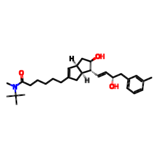 Cc1cccc(C[C@H](O)/C=C/[C@@H]2[C@H]3CC(CCCCCC(=O)N(C)C(C)(C)C)=C[C@H]3C[C@H]2O)c1